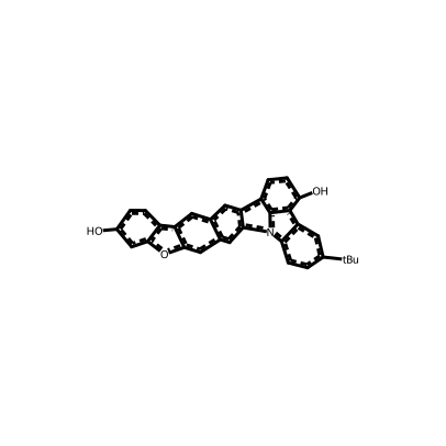 CC(C)(C)c1ccc2c(c1)c1c(O)ccc3c4cc5cc6c(cc5cc4n2c31)oc1cc(O)ccc16